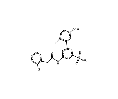 NS(=O)(=O)c1cc(NC(=O)Cc2ccccc2Cl)cc(-c2cc(C(=O)O)ccc2F)c1